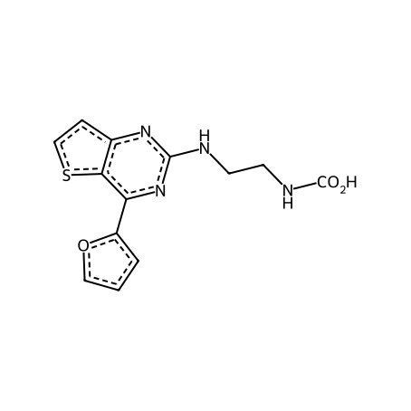 O=C(O)NCCNc1nc(-c2ccco2)c2sccc2n1